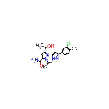 CC[C@H](Cn1ccc(-c2ccc(C#N)c(Cl)c2)n1)n1nc(C(C)O)cc1C(N)=O